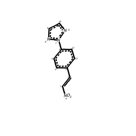 O=[N+]([O-])/C=C/c1ccc(-n2nccn2)cc1